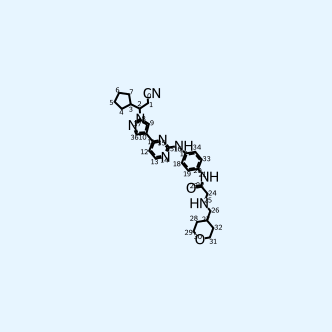 N#CCC(C1CCCC1)n1cc(-c2ccnc(Nc3ccc(NC(=O)CNCC4CCOCC4)cc3)n2)cn1